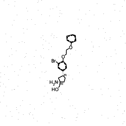 N[C@@]1(CO)CC[C@@H](c2ccc(OCCOc3ccccc3)c(Br)c2)C1